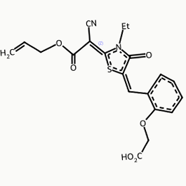 C=CCOC(=O)/C(C#N)=c1\sc(=Cc2ccccc2OCC(=O)O)c(=O)n1CC